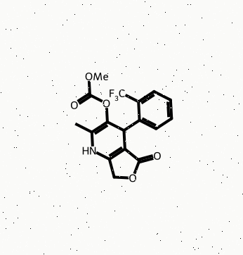 COC(=O)OC1=C(C)NC2=C(C(=O)OC2)C1c1ccccc1C(F)(F)F